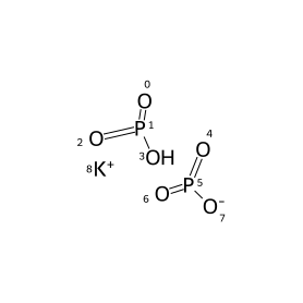 O=P(=O)O.O=P(=O)[O-].[K+]